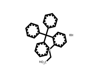 O=C(O)CNc1ccccc1C(c1ccccc1)(c1ccccc1)c1ccccc1.[KH]